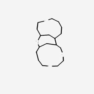 C1CCCCC2CC(CCC1)NC1CCCCCCCC2C1